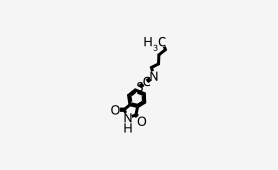 CCCCCN=C=S.O=C1NC(=O)c2ccccc21